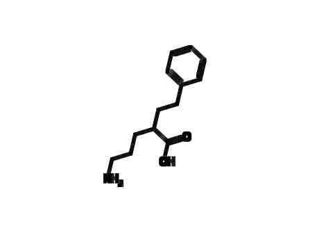 NCCCC(CCc1ccccc1)C(=O)O